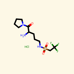 Cl.NC(CCCNS(=O)(=O)CC(F)(F)F)C(=O)N1CCCC1